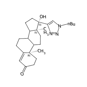 CCCCn1cc([C@]2(O)CCC3C4CCC5=CC(=O)CC[C@]5(C)C4CC[C@@]32C)nn1